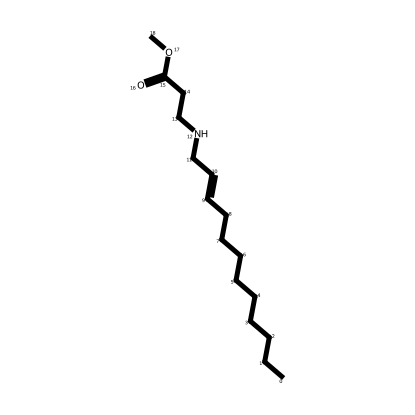 CCCCCCCCCC=CCNCCC(=O)OC